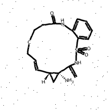 C=C1NS(=O)(=O)c2ccccc2NC(=O)CCCC/C=C/[C@H]2C[C@]12N